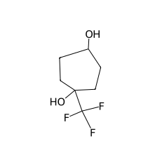 OC1CCC(O)(C(F)(F)F)CC1